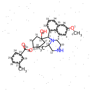 COc1ccc2c(C(N3CCNCC3C)C3(O)CCC(OC(=O)c4cccc(C)c4)CC3)cccc2c1